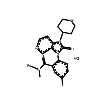 CC(C)N(C)C(=O)c1cc(F)ccc1-n1c(=O)n(C2CCNCC2)c2ccncc21.Cl